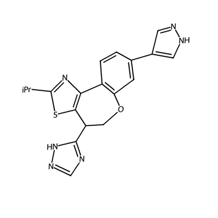 CC(C)c1nc2c(s1)C(c1ncn[nH]1)COc1cc(-c3cn[nH]c3)ccc1-2